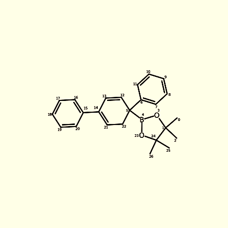 CC1(C)OB(C2(c3ccccc3)C=CC(c3ccccc3)=CC2)OC1(C)C